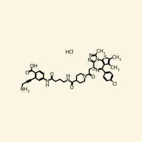 Cc1sc2c(c1C)C(c1ccc(Cl)cc1)=N[C@@H](CC(=O)N1CCC(C(=O)NCCCC(=O)Nc3ccc(C(=O)O)c(C#CCN)c3)CC1)c1nnc(C)n1-2.Cl